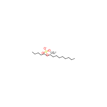 CCCCCCCCCCCCCCC.O=S(=O)([O-])[O-].[Li+].[Li+]